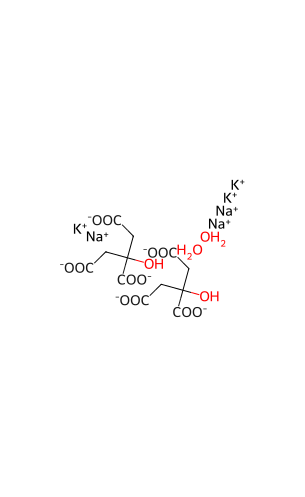 O.O.O=C([O-])CC(O)(CC(=O)[O-])C(=O)[O-].O=C([O-])CC(O)(CC(=O)[O-])C(=O)[O-].[K+].[K+].[K+].[Na+].[Na+].[Na+]